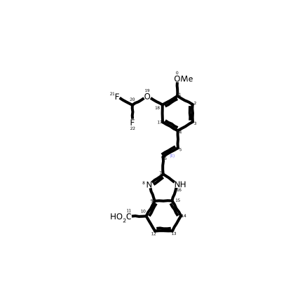 COc1ccc(/C=C/c2nc3c(C(=O)O)cccc3[nH]2)cc1OC(F)F